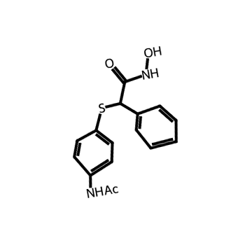 CC(=O)Nc1ccc(SC(C(=O)NO)c2ccccc2)cc1